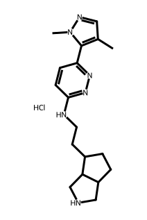 Cc1cnn(C)c1-c1ccc(NCCC2CCC3CNCC23)nn1.Cl